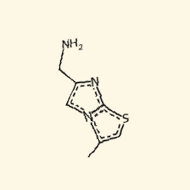 Cc1csc2nc(CN)cn12